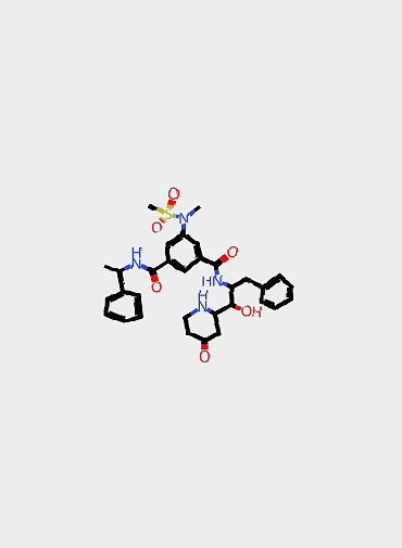 CC(NC(=O)c1cc(C(=O)NC(Cc2ccccc2)C(O)C2CC(=O)CCN2)cc(N(C)S(C)(=O)=O)c1)c1ccccc1